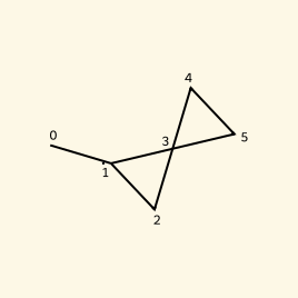 C[C]1CC12CC2